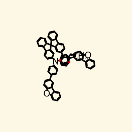 C=Cc1ccccc1-c1ccc2c(c1)C1(c3ccccc3-2)c2ccccc2-c2ccc(N(c3ccc(-c4ccc5oc6ccccc6c5c4)cc3)c3ccc(-c4ccc5oc6ccccc6c5c4)cc3)cc21